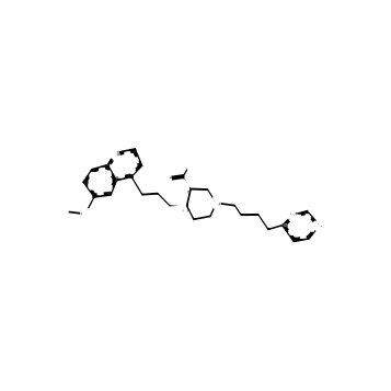 COc1ccc2nccc(CCC[C@@H]3CCN(CCCCc4ccncn4)C[C@@H]3C(=O)O)c2c1